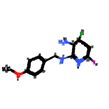 COc1ccc(CNc2nc(I)cc(Cl)c2N)cc1